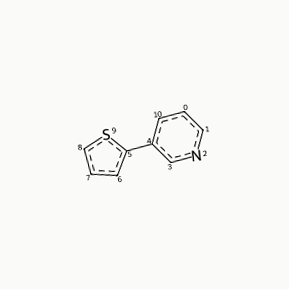 c1cncc(-c2cccs2)c1